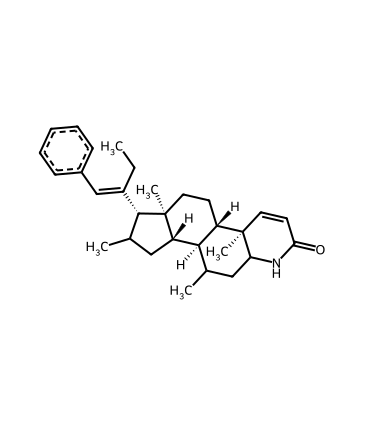 CC/C(=C\c1ccccc1)[C@H]1C(C)C[C@H]2[C@@H]3C(C)CC4NC(=O)C=C[C@]4(C)[C@H]3CC[C@]12C